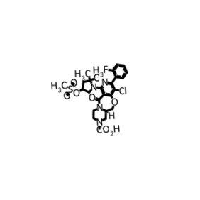 CC1(C)CC(OS(C)(=O)=O)CN1c1nc(-c2ccccc2F)c(Cl)c2c1C(=O)N1CCN(C(=O)O)C[C@@H]1CO2